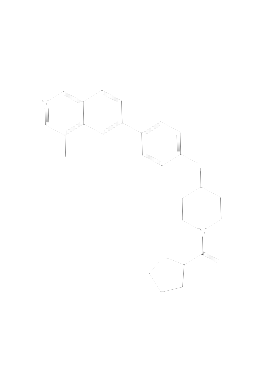 Cc1cncc2ccc(-c3ccc(OC4CCN(C(=O)C5CCCO5)CC4)cc3)cc12